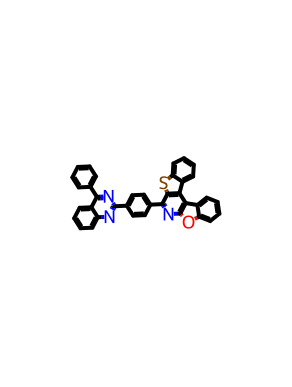 c1ccc(-c2nc(-c3ccc(-c4nc5oc6ccccc6c5c5c4sc4ccccc45)cc3)nc3ccccc23)cc1